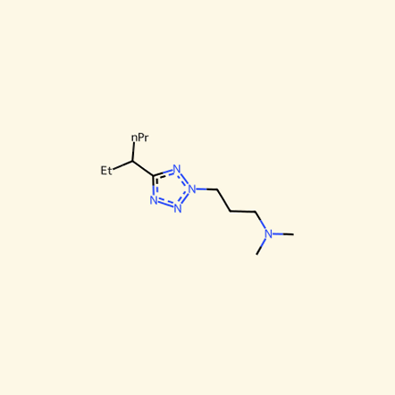 CCCC(CC)c1nnn(CCCN(C)C)n1